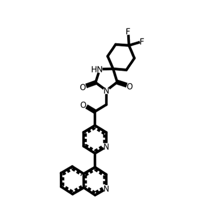 O=C(CN1C(=O)NC2(CCC(F)(F)CC2)C1=O)c1ccc(-c2cncc3ccccc23)nc1